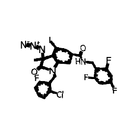 CC1(N=[N+]=[N-])C(=O)N(Cc2c(F)cccc2Cl)c2cc(C(=O)NCc3c(F)cc(F)cc3F)cc(I)c21